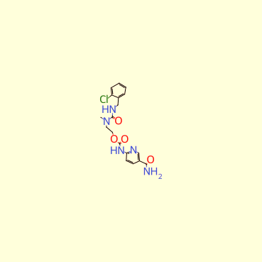 CN(CCOC(=O)Nc1ccc(C(N)=O)cn1)C(=O)NCc1ccccc1Cl